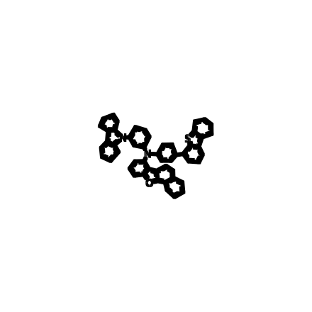 c1cc(N(c2ccc(-c3cccc4c3sc3ccccc34)cc2)c2cccc3oc4c5ccccc5ccc4c23)cc(-n2c3ccccc3c3ccccc32)c1